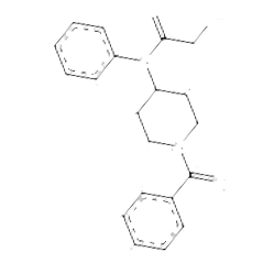 CCC(=O)N(c1ccccc1)C1CCN(C(=O)c2ccccc2)CC1